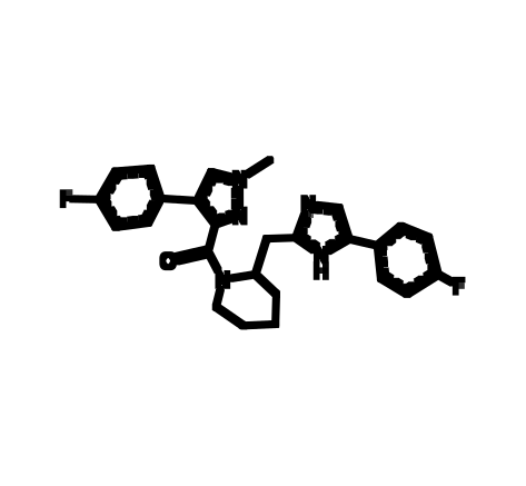 Cn1cc(-c2ccc(F)cc2)c(C(=O)N2CCCCC2Cc2ncc(-c3ccc(F)cc3)[nH]2)n1